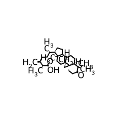 C=C(CC[C@@H](C)[C@H]1CC[C@@]2(C)[C@@H]3CC[C@H]4C(C)(C)C(=O)CC[C@@]45C[C@@]35CC[C@]12C)[C@@H](C)C(=O)O